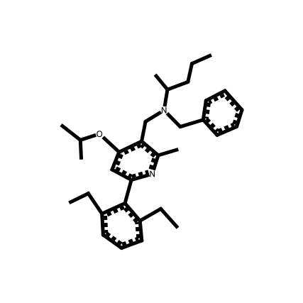 CCCC(C)N(Cc1ccccc1)Cc1c(OC(C)C)cc(-c2c(CC)cccc2CC)nc1C